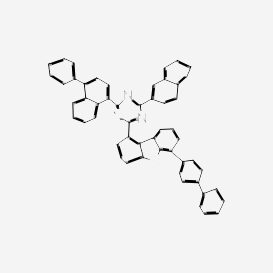 c1ccc(-c2ccc(-c3cccc4c3oc3cccc(-c5nc(-c6ccc7ccccc7c6)nc(-c6ccc(-c7ccccc7)c7ccccc67)n5)c34)cc2)cc1